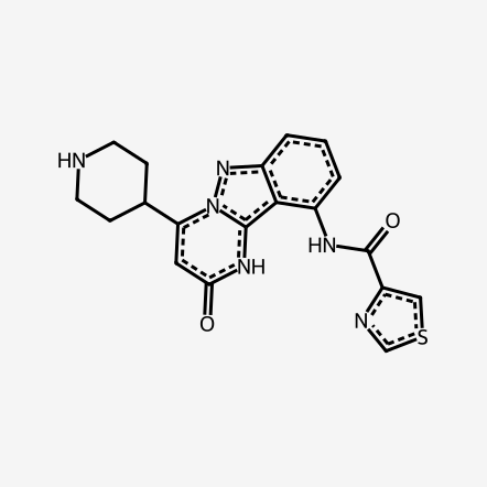 O=C(Nc1cccc2nn3c(C4CCNCC4)cc(=O)[nH]c3c12)c1cscn1